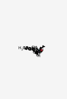 COc1cc(N2CCC(N3CCN(C)CC3)CC2)c(C)cc1Nc1ncc(Br)c(Nc2ccc3nc(C4CC4)ccc3c2CCCO)n1